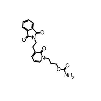 NC(=O)OCCCn1cccc(CCN2C(=O)c3ccccc3C2=O)c1=O